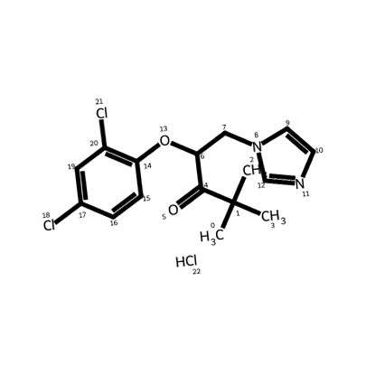 CC(C)(C)C(=O)C(Cn1ccnc1)Oc1ccc(Cl)cc1Cl.Cl